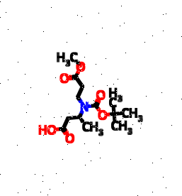 COC(=O)CCN(C(=O)OC(C)(C)C)[C@@H](C)CC(=O)O